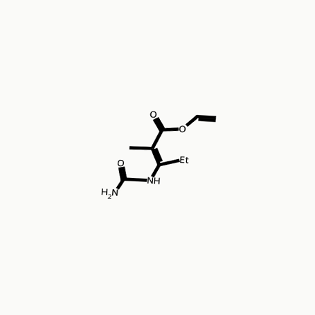 C=COC(=O)C(C)=C(CC)NC(N)=O